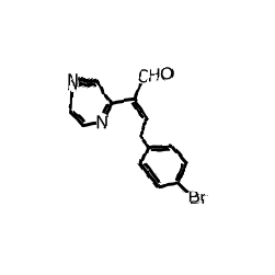 O=CC(=CCc1ccc(Br)cc1)c1cnccn1